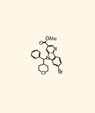 COC(=O)c1cnc2c3ccc(Br)cc3n(C(c3ccccc3)C3CCOCC3)c2c1